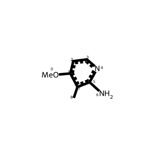 COc1ccnc(N)c1C